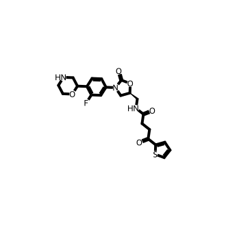 O=C(CCC(=O)c1cccs1)NC[C@H]1CN(c2ccc(C3CNCCO3)c(F)c2)C(=O)O1